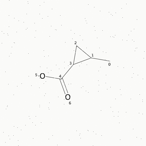 CC1CC1C([O])=O